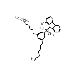 CCCCCCc1cc(CCCCCC)cc([Si](C)(C)C2c3ccccc3-c3ccc[c]([Ti+3])c32)c1.[Cl-].[Cl-].[Cl-]